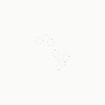 O=c1c2ccsc2n2c3ccc(-c4ccc5ccc6ccccc6c5c4)cc3c3cccc1c32